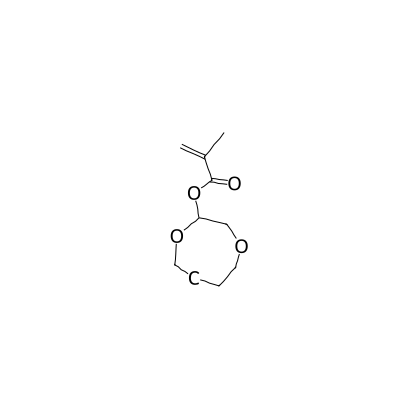 C=C(C)C(=O)OC1COCCCCO1